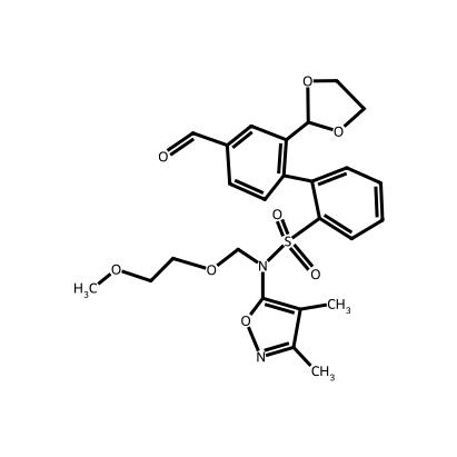 COCCOCN(c1onc(C)c1C)S(=O)(=O)c1ccccc1-c1ccc(C=O)cc1C1OCCO1